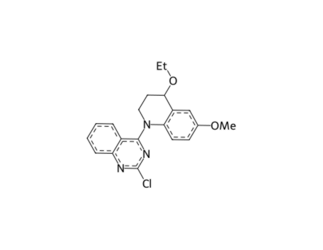 CCOC1CCN(c2nc(Cl)nc3ccccc23)c2ccc(OC)cc21